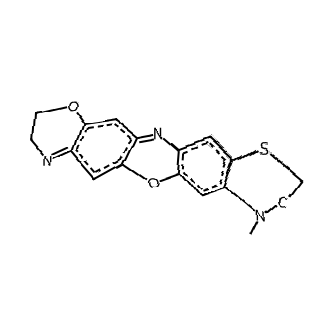 CN1CCSc2cc3c(cc21)Oc1cc2c(cc1=N3)OCCN=2